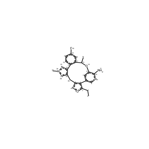 CCc1onc2c1-c1cnc(N)c(c1)OC(C)c1cc(F)ccc1-c1nn(C)nc1C2